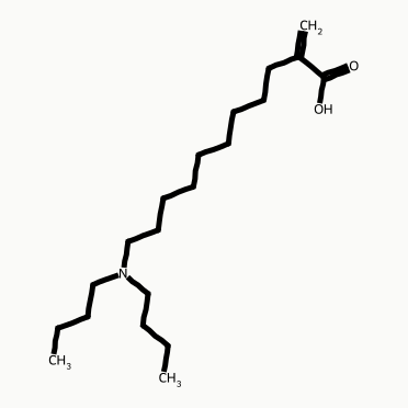 C=C(CCCCCCCCCN(CCCC)CCCC)C(=O)O